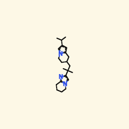 CC(C)c1cc2n(c1)CCC(CC(C)(C)c1cn3c(n1)CCCC3)C2